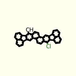 Cc1c2c(cc3c1ccc1c4cc5c(c(Cl)c4ccc31)-c1cccc3cccc-5c13)-c1cccc3cccc-2c13